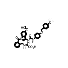 Cl.O=C(O)CNCc1ccccc1C(=O)n1cc(NC(=O)Nc2ccc(OCc3ccc(SC(F)(F)F)cc3)cc2)c2cc(Cl)ccc21